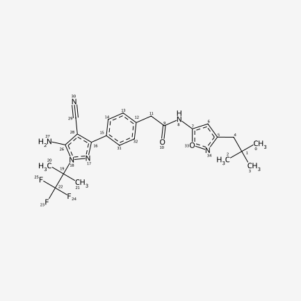 CC(C)(C)Cc1cc(NC(=O)Cc2ccc(-c3nn(C(C)(C)C(F)(F)F)c(N)c3C#N)cc2)on1